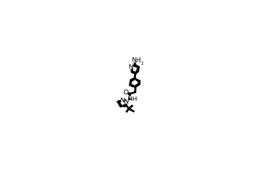 CC(C)(C)c1ccnn1NC(=O)Cc1ccc(-c2ccc(N)nc2)cc1